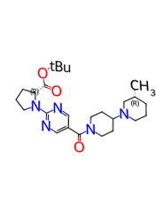 C[C@@H]1CCCN(C2CCN(C(=O)c3cnc(N4CCC[C@@H]4C(=O)OC(C)(C)C)nc3)CC2)C1